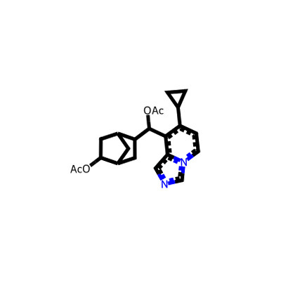 CC(=O)OC1CC2CC1CC2C(OC(C)=O)c1c(C2CC2)ccn2cncc12